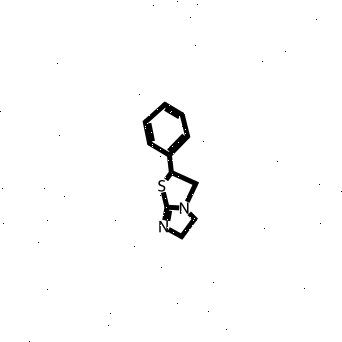 c1ccc(C2CN3CCN=C3S2)cc1